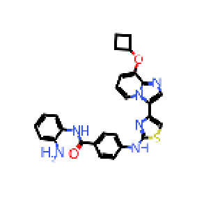 Nc1ccccc1NC(=O)c1ccc(Nc2nc(-c3cnc4c(OC5CCC5)cccn34)cs2)cc1